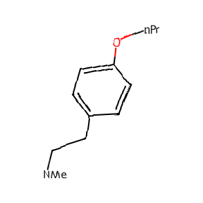 CCCOc1ccc(CCNC)cc1